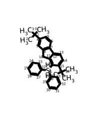 CC(C)(C)c1ccc2c(c1)Cc1c-2ccc(C(C)(C)C)c1[SiH](c1ccccc1)c1ccccc1